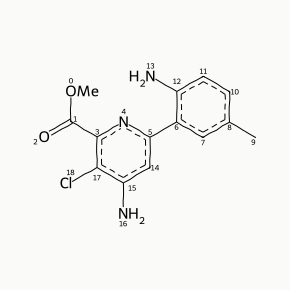 COC(=O)c1nc(-c2cc(C)ccc2N)cc(N)c1Cl